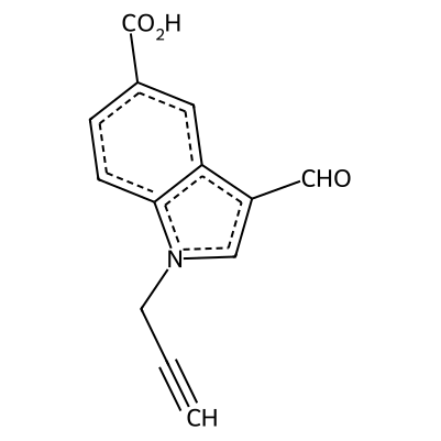 C#CCn1cc(C=O)c2cc(C(=O)O)ccc21